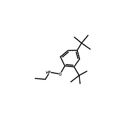 CCPOc1ccc(C(C)(C)C)cc1C(C)(C)C